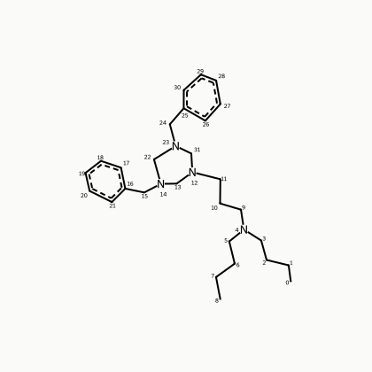 CCCCN(CCCC)CCCN1CN(Cc2ccccc2)CN(Cc2ccccc2)C1